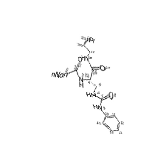 CCCCCCCCCC(=O)N[C@@H](CNC(=O)Nc1ccccc1)C(=O)NCCC(C)C